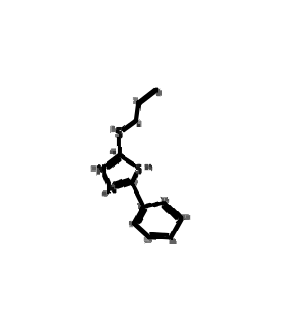 CCCSc1nnc(-c2ccccc2)s1